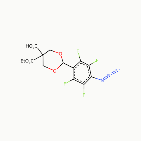 CCOC(=O)C1(C(=O)O)COC(c2c(F)c(F)c(N=[N+]=[N-])c(F)c2F)OC1